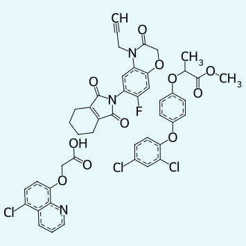 C#CCN1C(=O)COc2cc(F)c(N3C(=O)C4=C(CCCC4)C3=O)cc21.COC(=O)C(C)Oc1ccc(Oc2ccc(Cl)cc2Cl)cc1.O=C(O)COc1ccc(Cl)c2cccnc12